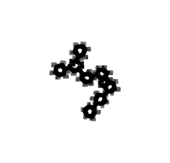 c1ccc(-c2ccc(-c3cccc4c3sc3c(-c5cccc(-c6cc(-c7ccccc7)nc(-c7ccccc7)n6)c5)cccc34)cc2)cc1